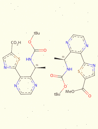 COC(=O)c1cnc(-c2nccnc2[C@H](C)NC(=O)OC(C)(C)C)s1.C[C@H](NC(=O)OC(C)(C)C)c1nccnc1-c1ncc(C(=O)O)s1